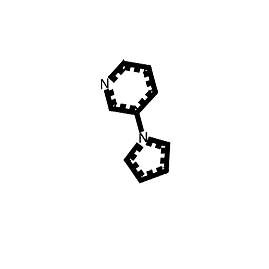 [c]1ccc(-n2cccc2)cn1